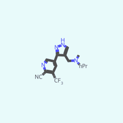 CCCN(C)Cc1c[nH]nc1-c1cnc(C#N)c(C(F)(F)F)c1